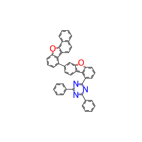 c1ccc(-c2nc(-c3ccccc3)nc(-c3cccc4oc5cc(-c6cccc7oc8c9ccccc9ccc8c67)ccc5c34)n2)cc1